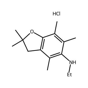 CCNc1c(C)c(C)c2c(c1C)CC(C)(C)O2.Cl